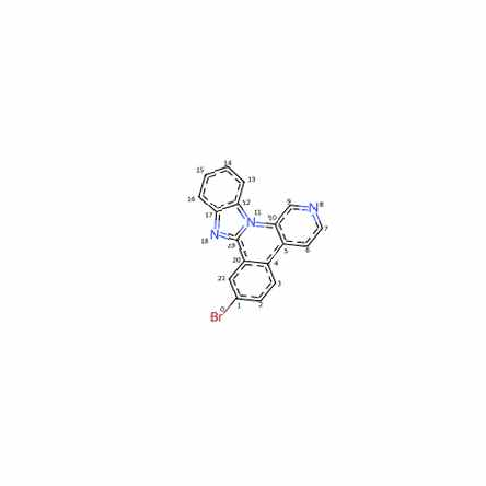 Brc1ccc2c3ccncc3n3c4ccccc4nc3c2c1